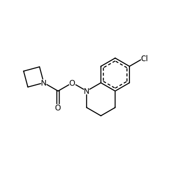 O=C(ON1CCCc2cc(Cl)ccc21)N1CCC1